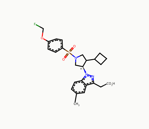 Cc1ccc2c(c1)c(CC(=O)O)nn2[C@H]1CN(S(=O)(=O)c2ccc(OCF)cc2)CC1C1CCC1